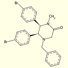 CN1C(=O)CN(Cc2ccccc2)[C@@H](c2ccc(Br)cc2)[C@H]1c1ccc(Br)cc1